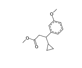 COC(=O)CC(c1cccc(OC)c1)C1CC1